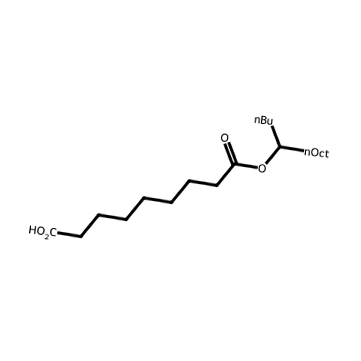 CCCCCCCCC(CCCC)OC(=O)CCCCCCCC(=O)O